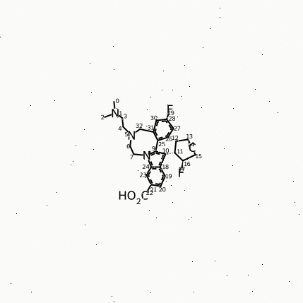 CN(C)CCN1CCn2c(c([C@@H]3CCCC[C@H]3F)c3ccc(C(=O)O)cc32)-c2ccc(F)cc2C1